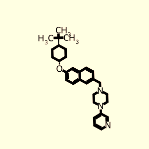 CC(C)(C)[C@H]1CC[C@H](Oc2ccc3cc(CN4CCN(c5cccnc5)CC4)ccc3c2)CC1